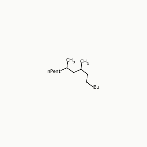 [CH2]CC(C)CCC(C)CC(C)CCCCC